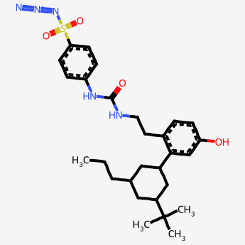 CCCC1CC(c2cc(O)ccc2CCNC(=O)Nc2ccc(S(=O)(=O)N=[N+]=[N-])cc2)CC(C(C)(C)C)C1